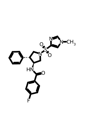 Cn1cnc(S(=O)(=O)N2C[C@@H](NC(=O)c3ccc(F)cc3)[C@H](c3ccccc3)C2)c1